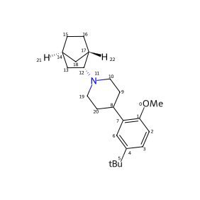 COc1ccc(C(C)(C)C)cc1C1CCN([C@@H]2C[C@H]3CC[C@H]2C3)CC1